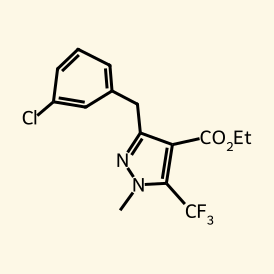 CCOC(=O)c1c(Cc2cccc(Cl)c2)nn(C)c1C(F)(F)F